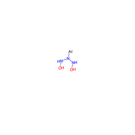 CC(=O)N(NO)NO